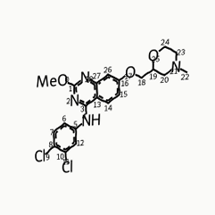 COc1nc(Nc2ccc(Cl)c(Cl)c2)c2ccc(OCC3CN(C)CCO3)cc2n1